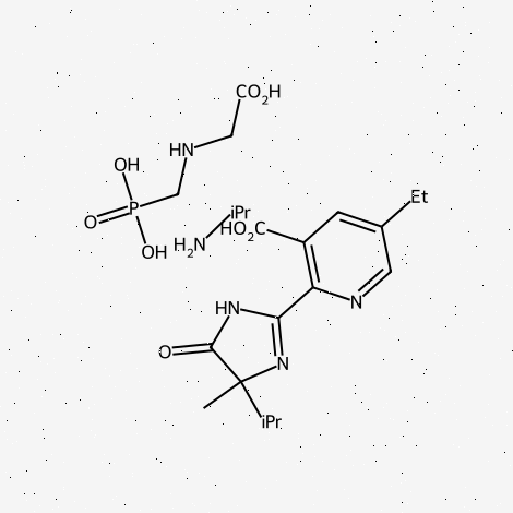 CC(C)N.CCc1cnc(C2=NC(C)(C(C)C)C(=O)N2)c(C(=O)O)c1.O=C(O)CNCP(=O)(O)O